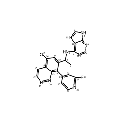 CC(Nc1ncnc2[nH]cnc12)c1cc(Cl)c2ccnnc2c1-c1ccnc(F)c1